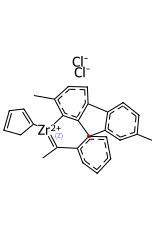 C/[C](c1ccccc1)=[Zr+2](\[C]1=CC=CC1)[c]1c(C)ccc2c1Cc1cc(C)ccc1-2.[Cl-].[Cl-]